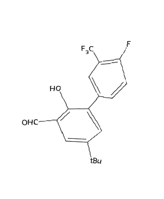 CC(C)(C)c1cc(C=O)c(O)c(-c2ccc(F)c(C(F)(F)F)c2)c1